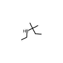 CCBC(C)(C)CC